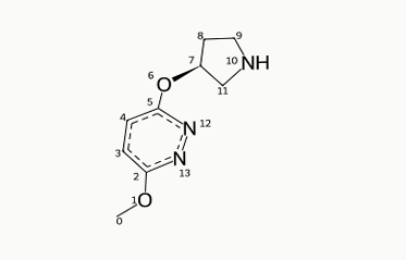 COc1ccc(O[C@H]2CCNC2)nn1